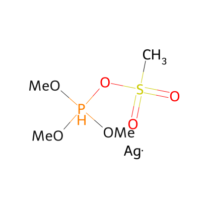 CO[PH](OC)(OC)OS(C)(=O)=O.[Ag]